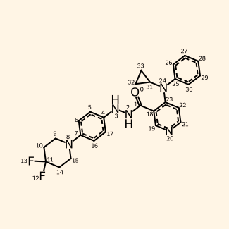 O=C(NNc1ccc(N2CCC(F)(F)CC2)cc1)c1cnccc1N(c1ccccc1)C1CC1